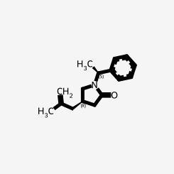 C=C(C)C[C@@H]1CC(=O)N([C@@H](C)c2ccccc2)C1